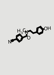 CN(CCc1ccc(O)cc1)C(=O)c1ccc(C#N)cc1